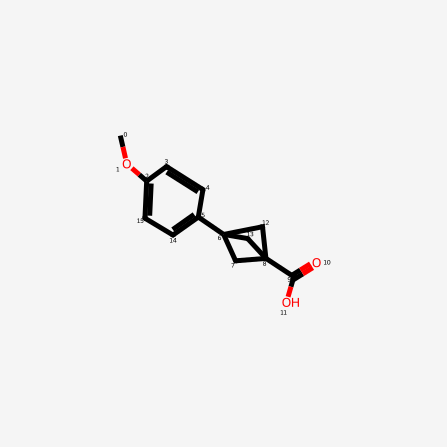 COc1ccc(C23CC(C(=O)O)(C2)C3)cc1